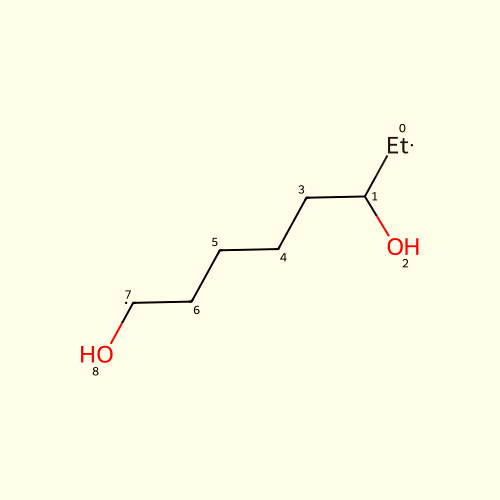 C[CH]C(O)CCCC[CH]O